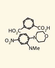 CNc1cc([N+](=O)[O-])ccc1N1CCOCC1.O=C(O)c1cccc(C(=O)O)c1